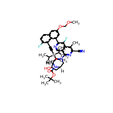 COCOc1cc(-c2ncc3c(N4C[C@H]5C[C@@H](O)[C@@H](C4)N5C(=O)OC(C)(C)C)nc(C#N)c(C)c3c2F)c2c(C#C[Si](C(C)C)(C(C)C)C(C)C)c(F)ccc2c1